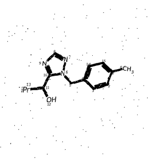 Cc1ccc(Cn2ncnc2C(O)C(C)C)cc1